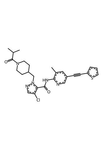 Cc1cc(C#Cc2cccs2)cnc1NC(=O)c1c(Cl)cnn1CC1CCN(C(=O)C(C)C)CC1